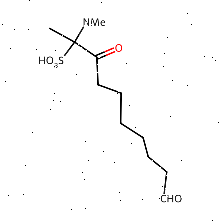 CNC(C)(C(=O)CCCCCCC=O)S(=O)(=O)O